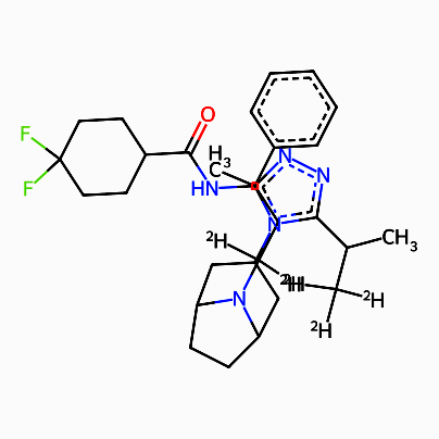 [2H]C([2H])([2H])C(C)c1nnc(C)n1C1CC2CCC(C1)N2C([2H])([2H])CC(NC(=O)C1CCC(F)(F)CC1)c1ccccc1